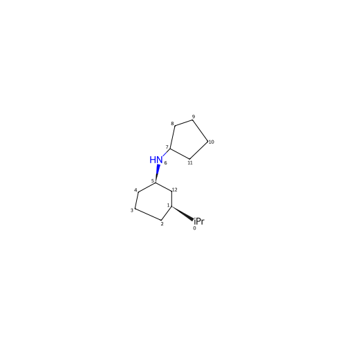 CC(C)[C@H]1CCC[C@@H](NC2CCCC2)C1